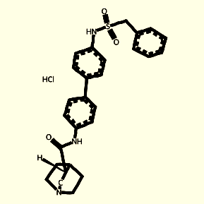 Cl.O=C(Nc1ccc(-c2ccc(NS(=O)(=O)Cc3ccccc3)cc2)cc1)[C@H]1CN2CCC1CC2